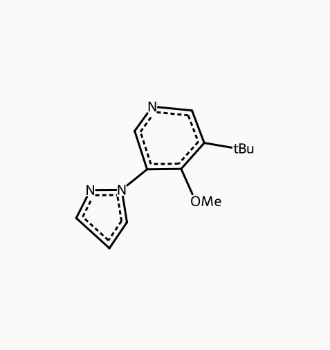 COc1c(-n2cccn2)cncc1C(C)(C)C